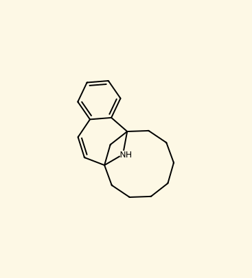 C1=CC23CCCCCCCC(C2)(N3)c2ccccc21